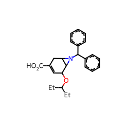 CCC(CC)OC1C=C(C(=O)O)CC2C1N2C(c1ccccc1)c1ccccc1